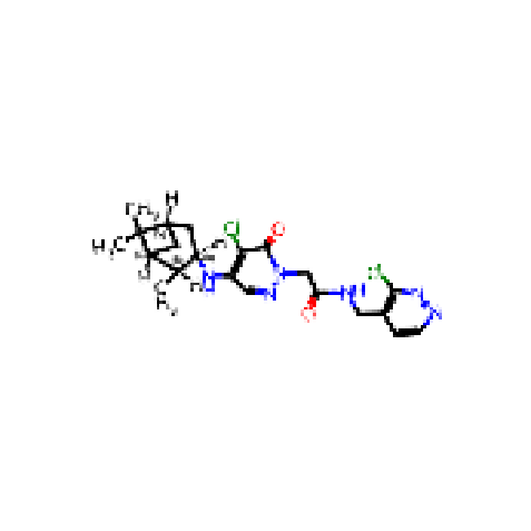 C[C@@H]1[C@H]2C[C@@H](C[C@H]1Nc1cnn(CC(=O)NCc3ccnnc3Cl)c(=O)c1Cl)C2(C)C